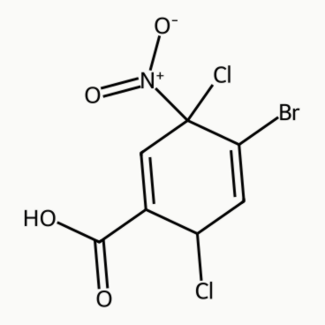 O=C(O)C1=CC(Cl)([N+](=O)[O-])C(Br)=CC1Cl